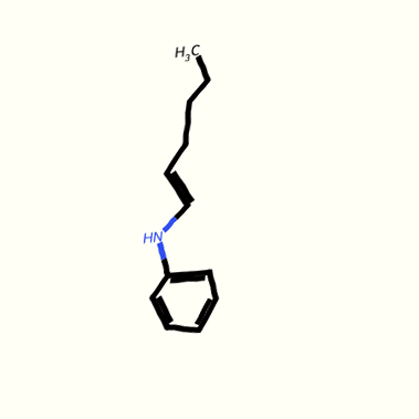 CCCCC=CNc1ccccc1